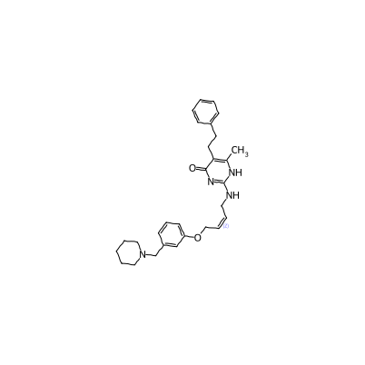 Cc1[nH]c(NC/C=C\COc2cccc(CN3CCCCC3)c2)nc(=O)c1CCc1ccccc1